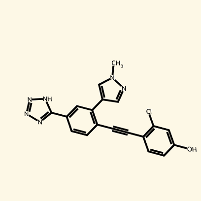 Cn1cc(-c2cc(-c3nnn[nH]3)ccc2C#Cc2ccc(O)cc2Cl)cn1